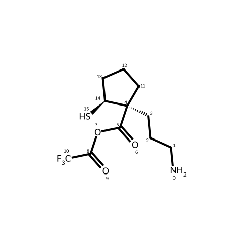 NCCC[C@@]1(C(=O)OC(=O)C(F)(F)F)CCC[C@@H]1S